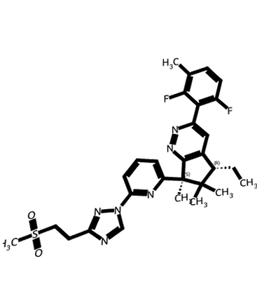 CC[C@H]1c2cc(-c3c(F)ccc(C)c3F)nnc2[C@](C)(c2cccc(-n3cnc(CCS(C)(=O)=O)n3)n2)C1(C)C